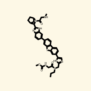 CCCN(Cc1ncc(-c2ccc3c(c2)sc2cc(-c4ccc5nc(C6C7CCC(C7)N6C(=O)CNC)[nH]c5c4)ccc23)[nH]1)C(=O)CNC(=O)OC